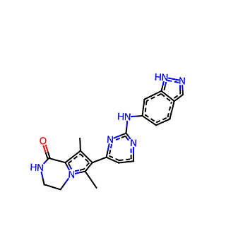 Cc1c(-c2ccnc(Nc3ccc4cn[nH]c4c3)n2)c(C)n2c1C(=O)NCC2